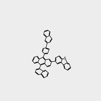 c1ccc2cc(-c3ccc(-c4c5ccccc5c(-c5cccc6ccccc56)c5ccc(-c6ccc7sc8ccccc8c7c6)cc45)cc3)ccc2c1